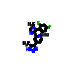 Cc1[nH]nnc1-c1ccnc(-c2ncn(C)c2-c2c(F)cc(F)cc2OCC(C)C)c1